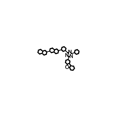 c1ccc(-c2nc(-c3cccc(-c4ccc5cc(-c6ccc7ccccc7c6)ccc5c4)c3)nc(-c3ccc4oc5ccccc5c4c3)n2)cc1